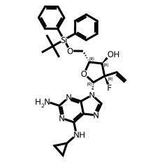 C=C[C@@]1(F)[C@H](O)[C@@H](CO[Si](c2ccccc2)(c2ccccc2)C(C)(C)C)O[C@H]1n1cnc2c(NC3CC3)nc(N)nc21